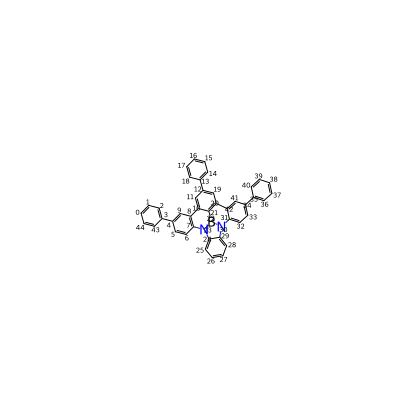 c1ccc(-c2ccc3c(c2)-c2cc(-c4ccccc4)cc4c2B2N3c3ccccc3N2c2ccc(-c3ccccc3)cc2-4)cc1